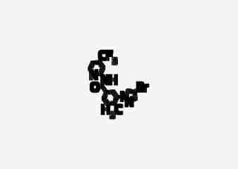 Cc1ccc(C(=O)Nc2cc(C(F)(F)F)ccn2)cc1-n1cc(Br)cn1